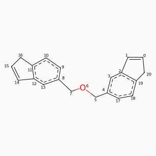 C1=Cc2cc(COCc3ccc4c(c3)C=CC4)ccc2C1